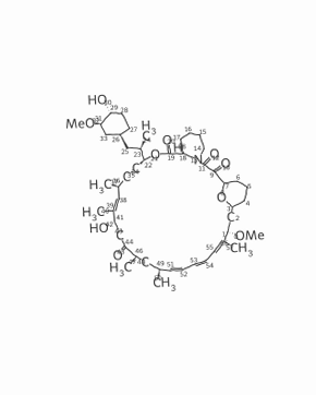 CO[C@H]1CC2CCCC(O2)C(=O)C(=O)N2CCCC[C@H]2C(=O)O[C@H]([C@H](C)C[C@@H]2CC[C@@H](O)[C@H](OC)C2)CC[C@H](C)/C=C(\C)[C@@H](O)CC(=O)[C@H](C)C[C@H](C)/C=C/C=C/C=C/1C